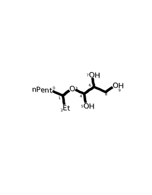 CCCCCC(CC)OC(O)C(O)CO